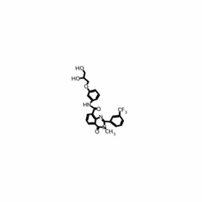 Cn1c(-c2cccc(C(F)(F)F)c2)nc2c(C(=O)Nc3cccc(OCC(O)CO)c3)cccc2c1=O